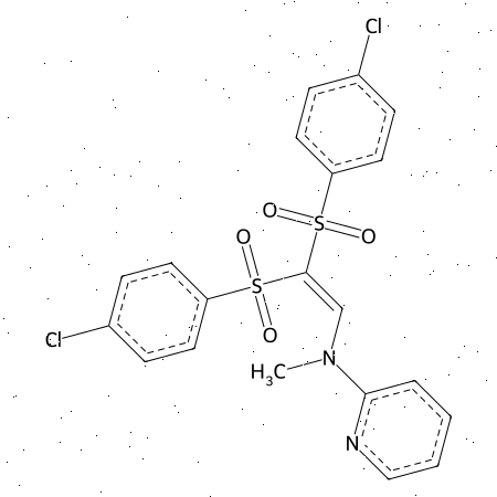 CN(C=C(S(=O)(=O)c1ccc(Cl)cc1)S(=O)(=O)c1ccc(Cl)cc1)c1ccccn1